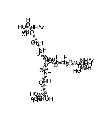 CC(=O)NC1C(OCCCCC(=O)NCCCNC(=O)CCOCC(COCCC(=O)NCCCNC(=O)CCCCOC2OC(CO)C(O)C(O)C2NC(C)=O)(COCCC(=O)NCCCNC(=O)CCCCOC(OC(CO)[C@H](C)O)[C@H](CO)NC(C)=O)C(C)(C)C)OC(CO)C(O)C1O